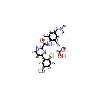 Cc1cc(CN(C)C)cc(C)c1NC(=O)c1nccc(-c2cc(Cl)ccc2Cl)n1.O=CO